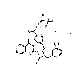 C[C@@H](NC(=O)N1C(=O)[C@H](Cc2ccnc(N)c2)[C@H]1Oc1ccc(C(=O)O)cc1)c1ccccc1.O=C(O)C(F)(F)F